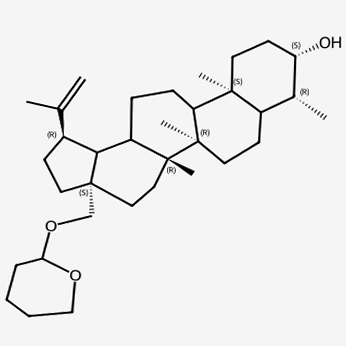 C=C(C)[C@@H]1CC[C@]2(COC3CCCCO3)CC[C@]3(C)C(CCC4[C@@]5(C)CC[C@H](O)[C@H](C)C5CC[C@]43C)C12